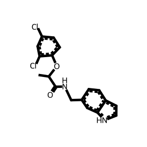 CC(Oc1ccc(Cl)cc1Cl)C(=O)NCc1ccc2cc[nH]c2c1